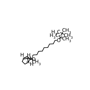 CN(CCCCCCCCCO[Si](C)(C)C(C)(C)C)[C@H]1[C@H]2CC[C@@H]1C(=O)C2